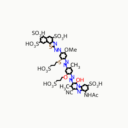 COc1cc(N=Nc2cc(OCCCS(=O)(=O)O)c(N=Nc3c(C)c(C#N)c4nc5c(NC(C)=O)cc(S(=O)(=O)O)cc5n4c3O)cc2C)c(SCCCS(=O)(=O)O)cc1N=Nc1nc2c(S(=O)(=O)O)cc3c(S(=O)(=O)O)cc(S(=O)(=O)O)cc3c2s1